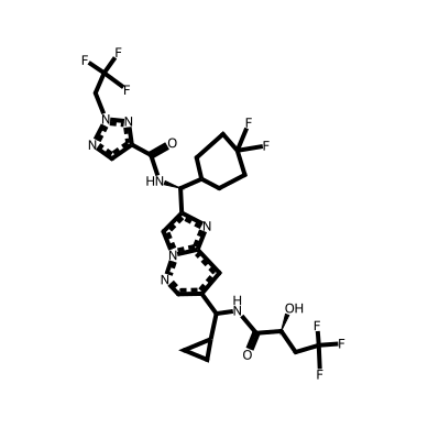 O=C(N[C@H](c1cn2ncc(C(NC(=O)[C@@H](O)CC(F)(F)F)C3CC3)cc2n1)C1CCC(F)(F)CC1)c1cnn(CC(F)(F)F)n1